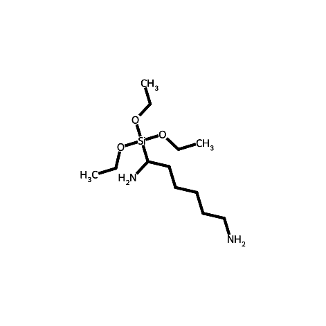 CCO[Si](OCC)(OCC)C(N)CCCCCN